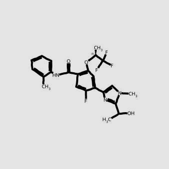 Cc1ccccc1NC(=O)c1cc(F)c(-c2cn(C)c(C(C)O)n2)cc1O[C@@H](C)C(F)(F)F